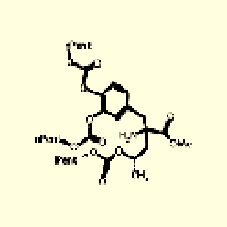 CCCCCOC(=O)Oc1ccc(CC(N)(C[C@H](C)OC(=O)O[C@@H](C)CCC)C(=O)OC)cc1OC(=O)OCCCCC